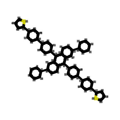 c1ccc(-c2ccc3c(-c4ccc(-c5ccc(-c6cccs6)cc5)cc4)c4cc(-c5ccccc5)ccc4c(-c4ccc(-c5ccc(-c6cccs6)cc5)cc4)c3c2)cc1